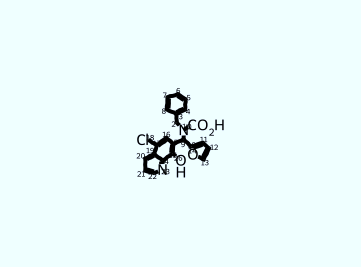 O=C(O)N(Cc1ccccc1)C(c1ccco1)c1cc(Cl)c2cccnc2c1O